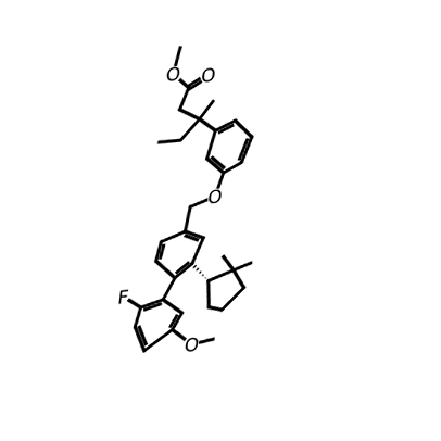 CCC(C)(CC(=O)OC)c1cccc(OCc2ccc(-c3cc(OC)ccc3F)c([C@H]3CCCC3(C)C)c2)c1